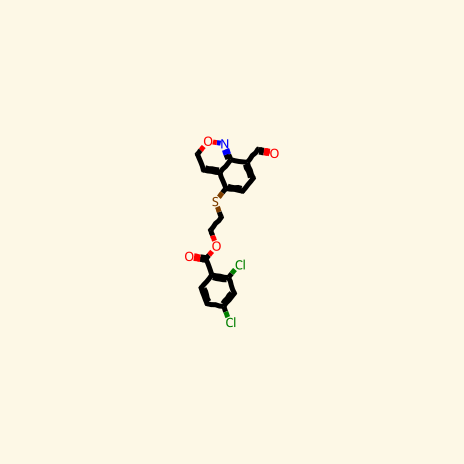 O=Cc1ccc(SCCOC(=O)c2ccc(Cl)cc2Cl)c2c1=NOCC=2